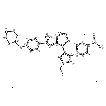 CCn1cc(-c2ccnc3[nH]c(-c4ccc(CN5CCOCC5)cc4)cc23)c(-c2ccc([N+](=O)[O-])cc2)n1